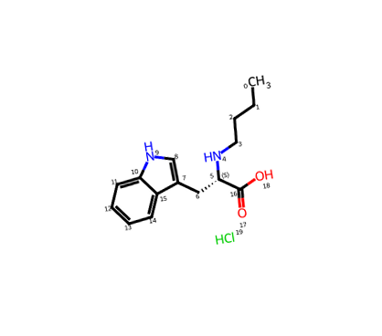 CCCCN[C@@H](Cc1c[nH]c2ccccc12)C(=O)O.Cl